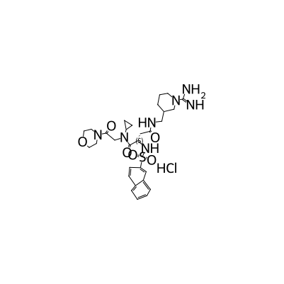 Cl.N=C(N)N1CCCC(CNC(=O)C[C@H](NS(=O)(=O)c2ccc3ccccc3c2)C(=O)N(CC(=O)N2CCOCC2)C2CC2)C1